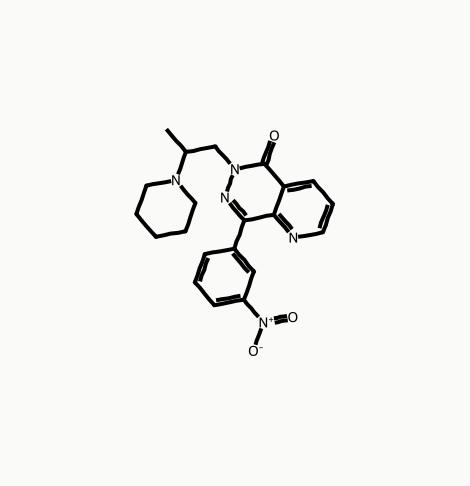 CC(Cn1nc(-c2cccc([N+](=O)[O-])c2)c2ncccc2c1=O)N1CCCCC1